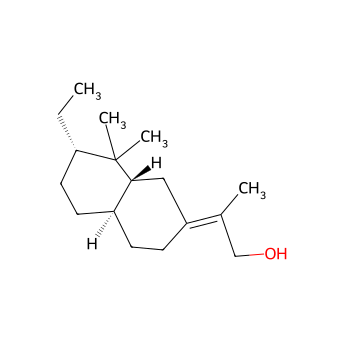 CC[C@H]1CC[C@@H]2CC/C(=C(/C)CO)C[C@H]2C1(C)C